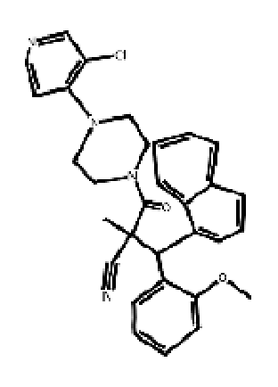 COc1ccccc1C(c1cccc2ccccc12)C(C)(C#N)C(=O)N1CCN(c2ccncc2Cl)CC1